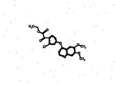 CCOC(=O)C(=O)c1ccc(Oc2ccnc3cc(OC)c(OC)cc23)cc1Cl